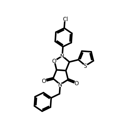 O=C1C2ON(c3ccc(Cl)cc3)C(c3cccs3)C2C(=O)N1Cc1ccccc1